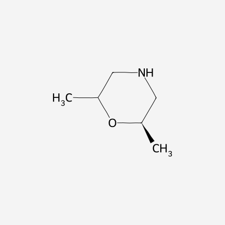 CC1CNC[C@@H](C)O1